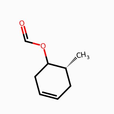 C[C@@H]1CC=CCC1OC=O